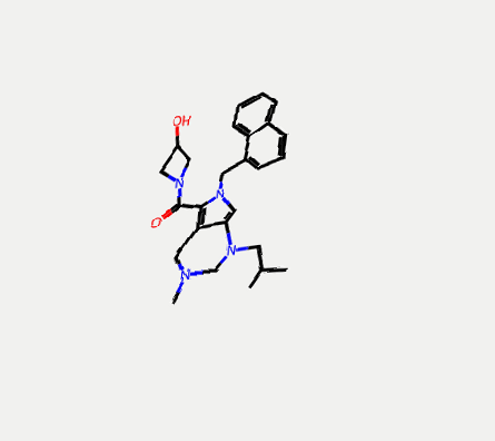 CC(C)CN1CN(C)Cc2c1cn(Cc1cccc3ccccc13)c2C(=O)N1CC(O)C1